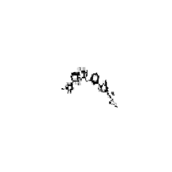 COCCOc1cnc(-c2cccc(Cc3nnc4ccc(-c5cnn(C)c5)nn34)c2)nc1